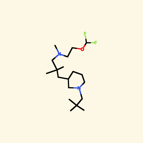 CN(CCOC(F)F)CC(C)(C)CC1CCCN(CC(C)(C)C)C1